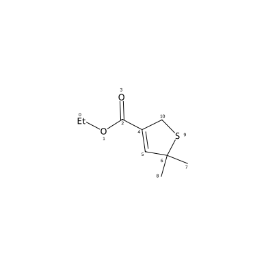 CCOC(=O)C1=CC(C)(C)SC1